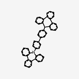 c1ccc2c(c1)-c1ccccc1C(c1ccc(-c3ccc(N4c5ccccc5-c5ccccc5-c5ccccc54)cc3)cc1)c1ccccc1-2